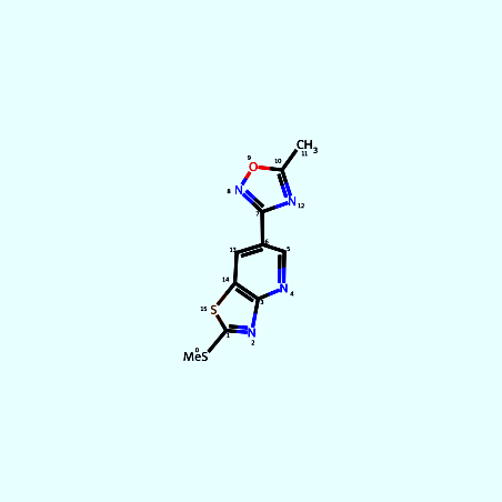 CSc1nc2ncc(-c3noc(C)n3)cc2s1